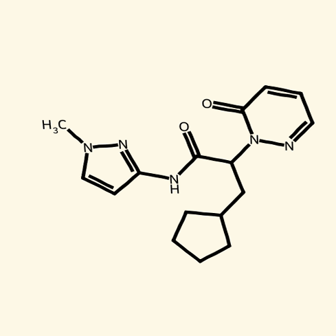 Cn1ccc(NC(=O)C(CC2CCCC2)n2ncccc2=O)n1